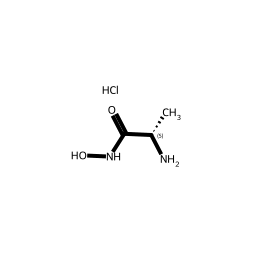 C[C@H](N)C(=O)NO.Cl